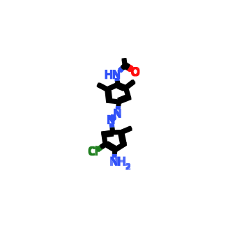 CC(=O)Nc1c(C)cc(N=Nc2cc(Cl)c(N)cc2C)cc1C